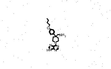 CCCCOc1ccc(C2(CN)CCN(c3ncnc4[nH]cnc34)CC2)cc1